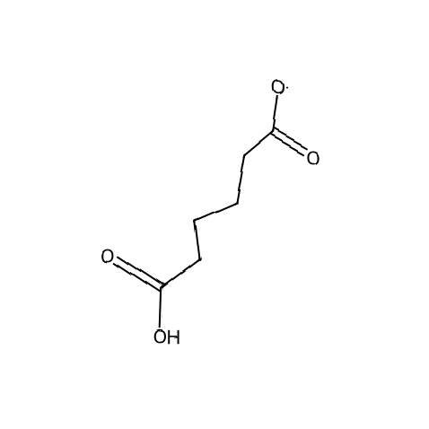 [O]C(=O)CCCCC(=O)O